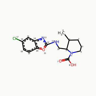 CC1CCCN(C(=O)O)C1CNc1nc2cc(Cl)ccc2o1